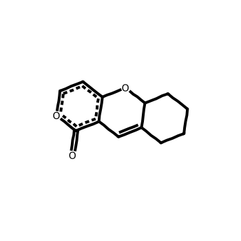 O=c1occc2c1C=C1CCCCC1O2